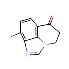 O=C1CCn2cnc3c(Cl)ccc1c32